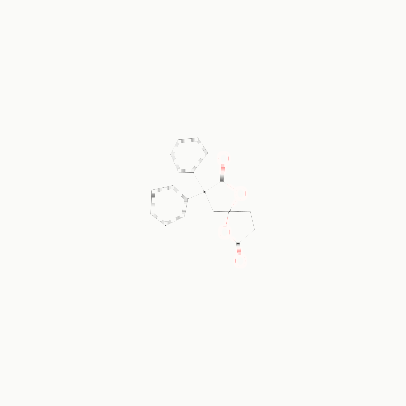 O=C1CCC2(CC(c3ccccc3)(c3ccccc3)C(=O)O2)O1